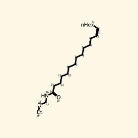 CCCCCC/C=C\CCCCCCCCCCCC(=O)NCOCC